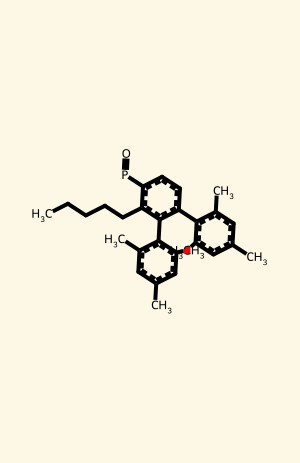 CCCCCc1c(P=O)ccc(-c2c(C)cc(C)cc2C)c1-c1c(C)cc(C)cc1C